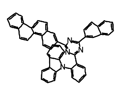 c1ccc(-n2c3ccccc3c3ccccc32)c(-c2nc(-c3ccc4ccccc4c3)nc(-c3ccc4c(ccc5c6ccccc6ccc45)c3)n2)c1